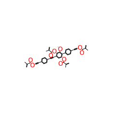 C=C(C)C(=O)OC#Cc1ccc(C#Cc2cc(OC(=O)C(=C)C)c(-c3ccc(C#COC(=O)C(=C)C)cc3)c(OC)c2OC(=O)C(=C)C)cc1